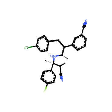 CC(C#N)[C@](C)(N[C@@H](C)C(Cc1ccc(Cl)cc1)c1cccc(C#N)c1)c1ccc(F)cc1